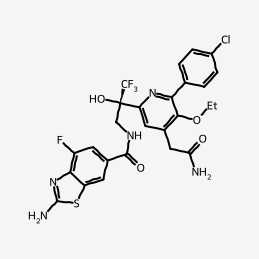 CCOc1c(CC(N)=O)cc([C@@](O)(CNC(=O)c2cc(F)c3nc(N)sc3c2)C(F)(F)F)nc1-c1ccc(Cl)cc1